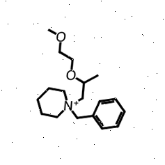 COCCOC(C)C[N+]1(Cc2ccccc2)CCCCC1